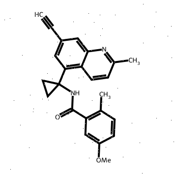 C#Cc1cc(C2(NC(=O)c3cc(OC)ccc3C)CC2)c2ccc(C)nc2c1